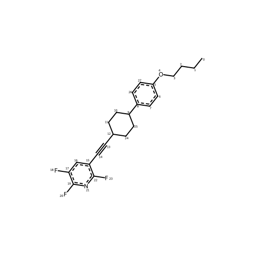 CCCCOc1ccc(C2CCC(C#Cc3cc(F)c(F)nc3F)CC2)cc1